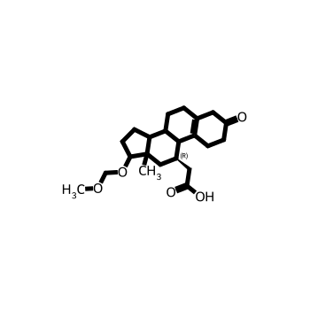 COCOC1CCC2C3CCC4=C(CCC(=O)C4)C3[C@@H](CC(=O)O)CC12C